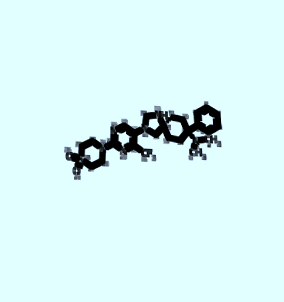 CN(C)[C@]1(c2ccccc2)CC[C@]2(CC1)CN(c1cnc(N3CCS(=O)(=O)CC3)nc1C(F)(F)F)CN2